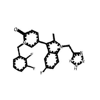 Cc1c(-c2ccc(=O)n(Cc3cccc(F)c3F)c2)c2cc(F)ccc2n1Cc1nn[nH]n1